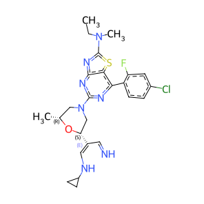 CCN(C)c1nc2nc(N3C[C@@H](C)O[C@@H](/C(C=N)=C/NC4CC4)C3)nc(-c3ccc(Cl)cc3F)c2s1